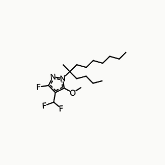 CCCCCCCC(C)(CCCC)n1nc(F)c(C(F)F)c1OC